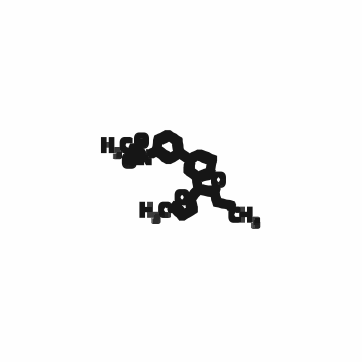 CCCc1oc2ccc(-c3cccc(NS(C)(=O)=O)c3)cc2c1-c1ccc(C)o1